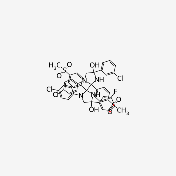 CS(=O)(=O)c1ccc(C2(C3(c4ccc(S(C)(=O)=O)cc4)NC(O)(c4cccc(Cl)c4)CN3c3ccc(Cl)cc3)NC(O)(c3cccc(F)c3)CN2c2ccc(Cl)cc2)cc1